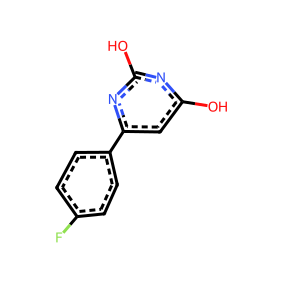 Oc1cc(-c2ccc(F)cc2)nc(O)n1